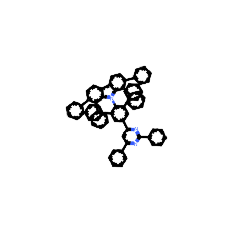 c1ccc(-c2cc(-c3cc(-c4ccccc4)c(-n4c5c(-c6ccccc6)c(-c6ccccc6)ccc5c5ccc(-c6ccccc6)c(-c6ccccc6)c54)c(-c4ccccc4)c3)nc(-c3ccccc3)n2)cc1